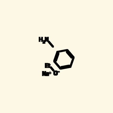 CC[O-].CN.[Na+].c1ccccc1